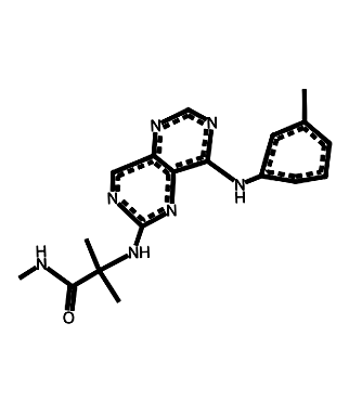 CNC(=O)C(C)(C)Nc1ncc2ncnc(Nc3cccc(C)c3)c2n1